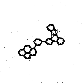 c1cc(-c2ccc3c4ccccc4c4nc5ccccc5n4c3c2)cc(-c2ccc3ccc4cccc5ccc2c3c45)c1